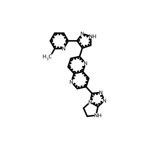 Cc1cccc(-c2n[nH]cc2-c2ccc3ncc(-c4nnc5n4CCN5)cc3n2)n1